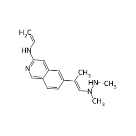 C=CNc1cc2cc(/C(C)=C/N(C)NC)ccc2cn1